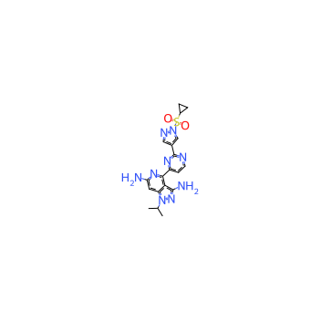 CC(C)n1nc(N)c2c(-c3ccnc(-c4cnn(S(=O)(=O)C5CC5)c4)n3)nc(N)cc21